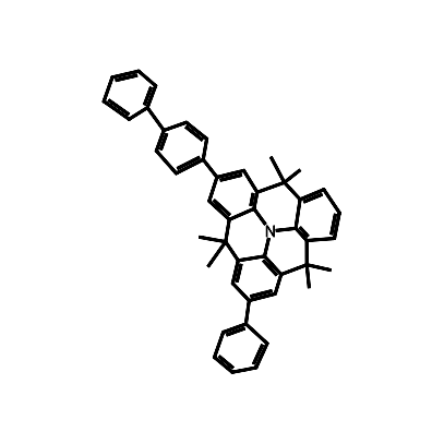 CC1(C)c2cccc3c2N2c4c1cc(-c1ccccc1)cc4C(C)(C)c1cc(-c4ccc(-c5ccccc5)cc4)cc(c12)C3(C)C